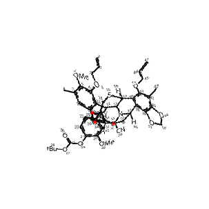 C=CCOc1c(OC)c(C)cc2c1C1C3[C@@H]4SC[C@]5(NCCc6cc(OC(=O)OC(C)(C)C)c(OC)cc65)C(=O)OC[C@@H](c5c6c(c(C)c(OCC=C)c54)OCO6)N3[C@@H](C#N)[C@H](C2)N1C